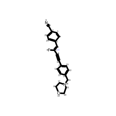 N#Cc1ccc(/C=C(\F)C#Cc2ccc(CN3CCOCC3)cc2)cc1